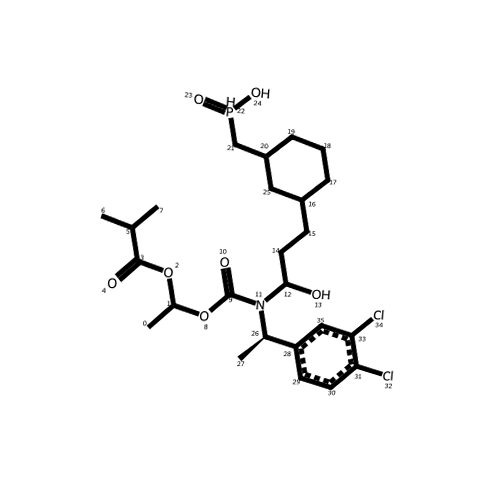 CC(OC(=O)C(C)C)OC(=O)N(C(O)CCC1CCCC(C[PH](=O)O)C1)[C@H](C)c1ccc(Cl)c(Cl)c1